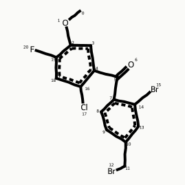 COc1cc(C(=O)c2ccc(CBr)cc2Br)c(Cl)cc1F